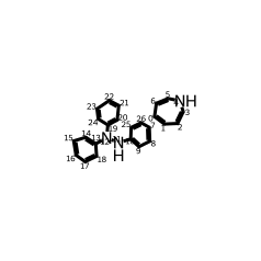 C1=CC=CNC=C1.c1ccc(NN(c2ccccc2)c2ccccc2)cc1